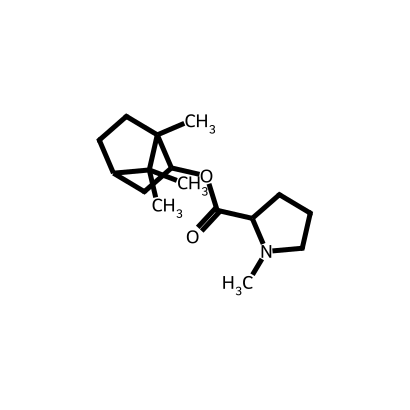 CN1CCCC1C(=O)OC1CC2CCC1(C)C2(C)C